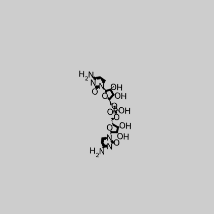 Nc1ccn([C@@H]2O[C@H](COP(=O)(O)OC[C@H]3O[C@@H](n4ccc(N)nc4=O)[C@H](O)[C@@H]3O)[C@@H](O)[C@H]2O)c(=O)n1